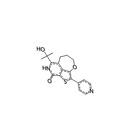 CC(C)(O)c1[nH]c(=O)c2sc(-c3ccncc3)c3c2c1CCCO3